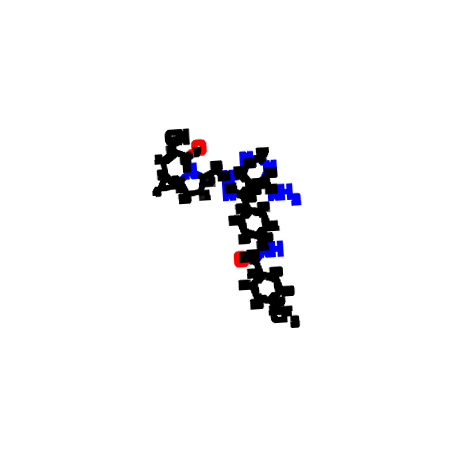 N#C/C(=C/C1CC1)C(=O)N1CCCC1Cn1nc(-c2ccc(NC(=O)c3ccc(C(F)(F)F)cc3)cc2)c2c(N)ncnc21